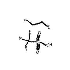 ClCCCl.O=S(=O)(O)C(F)(F)F